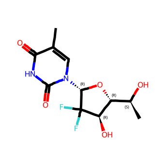 Cc1cn([C@@H]2O[C@H]([C@H](C)O)[C@@H](O)C2(F)F)c(=O)[nH]c1=O